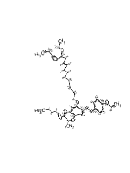 CCCCOC(=O)C(C)Oc1ccc(OCCCCCCCCCCC(OCC)OCC)c(N=Nc2ccc(OCC)cc2)c1